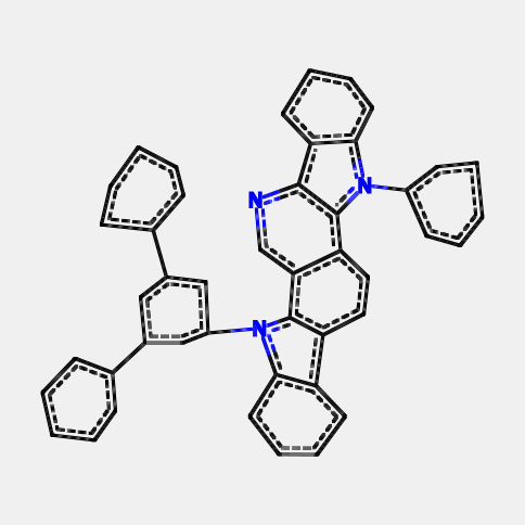 c1ccc(-c2cc(-c3ccccc3)cc(-n3c4ccccc4c4ccc5c(cnc6c7ccccc7n(-c7ccccc7)c56)c43)c2)cc1